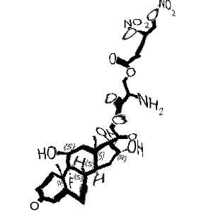 C[C@]12C=CC(=O)C=C1CC[C@H]1[C@@H]3C[C@@H](O)[C@](O)(C(=O)COC(=O)C(N)COC(=O)CC(CO[N+](=O)[O-])O[N+](=O)[O-])[C@@]3(C)C[C@H](O)[C@@]12F